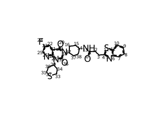 O=C(CCc1nc2ccccc2s1)N[C@H]1CC[C@@H](n2c(=O)c3cc(F)cnc3n(C3CCSCC3)c2=O)CC1